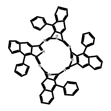 c1ccc(-c2c3c(cc4ccccc24)-c2nc-3nc3[nH]c(nc4nc(nc5[nH]c(n2)c2c(-c6ccccc6)c6ccccc6cc52)-c2c-4cc4ccccc4c2-c2ccccc2)c2c(-c4ccccc4)c4ccccc4cc32)cc1